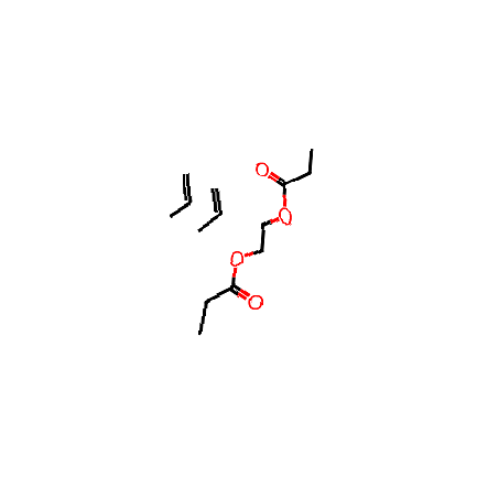 C=CC.C=CC.CCC(=O)OCCOC(=O)CC